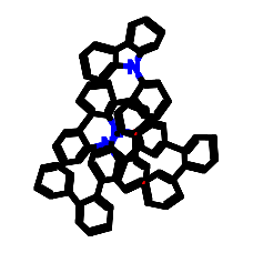 c1ccc(-c2ccccc2-c2ccc3c(c2)c2cc(-c4ccccc4-c4ccccc4)ccc2n3-c2c(-c3ccccc3-n3c4ccccc4c4ccccc43)cccc2-c2ccccc2-n2c3ccccc3c3ccccc32)cc1